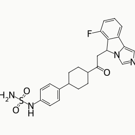 NS(=O)(=O)Nc1ccc(C2CCC(C(=O)CC3c4c(F)cccc4-c4cncn43)CC2)cc1